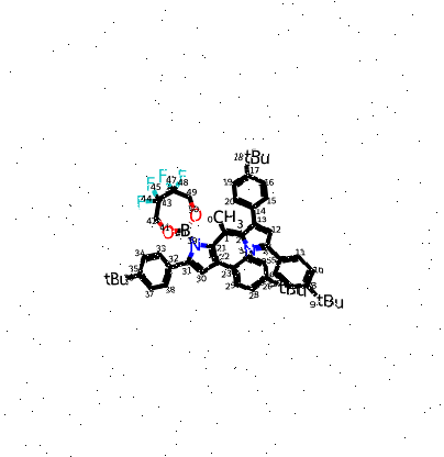 C/C(=C1/N=C(c2ccc(C(C)(C)C)cc2)C=C1c1ccc(C(C)(C)C)cc1)c1c(-c2ccc(C(C)(C)C)cc2)cc(-c2ccc(C(C)(C)C)cc2)n1B1OCC(F)(F)C(F)(F)CO1